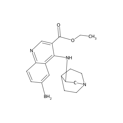 Bc1ccc2ncc(C(=O)OCC)c(NC3CN4CCC3CC4)c2c1